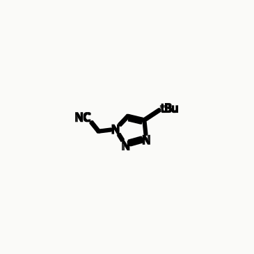 CC(C)(C)c1cn(CC#N)nn1